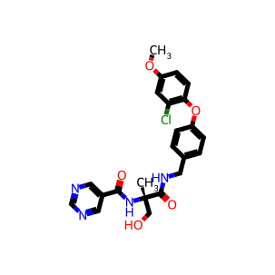 COc1ccc(Oc2ccc(CNC(=O)[C@](C)(CO)NC(=O)c3cncnc3)cc2)c(Cl)c1